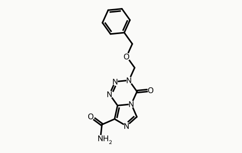 NC(=O)c1ncn2c(=O)n(COCc3ccccc3)nnc12